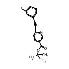 CC(C)(C)OC(=O)c1ccc(C#Cc2cccc(F)c2)nc1